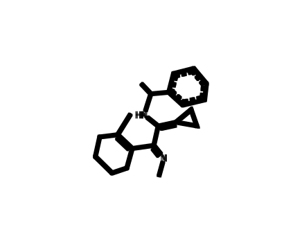 C/N=C(\C1=C(C)CCCC1)C(NC(C)c1ccccc1)=C1CC1